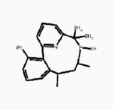 BC1(B)c2cccc(n2)-c2c(C(C)C)cccc2C(C)CC(C)P1C(C)C